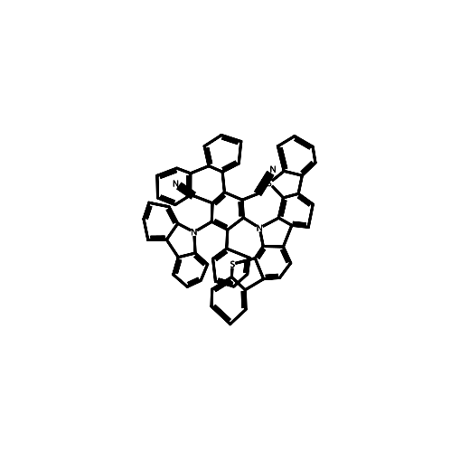 N#Cc1c(-c2ccccc2-c2ccccc2)c(C#N)c(-n2c3c(ccc4c5ccccc5sc43)c3ccc4c5ccccc5sc4c32)c(-c2ccccc2)c1-n1c2ccccc2c2ccccc21